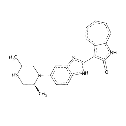 CC1CN(c2ccc3[nH]c(-c4c5cccccc-5[nH]c4=O)nc3c2)[C@@H](C)CN1